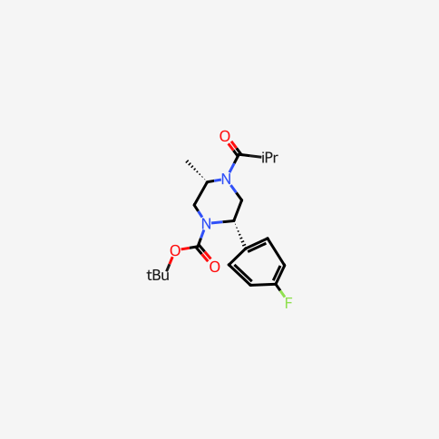 CC(C)C(=O)N1C[C@H](c2ccc(F)cc2)N(C(=O)OC(C)(C)C)C[C@@H]1C